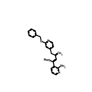 C=C(/C=C(\OC)c1cccnc1N)Cc1ccnc(OCc2ccccc2)c1